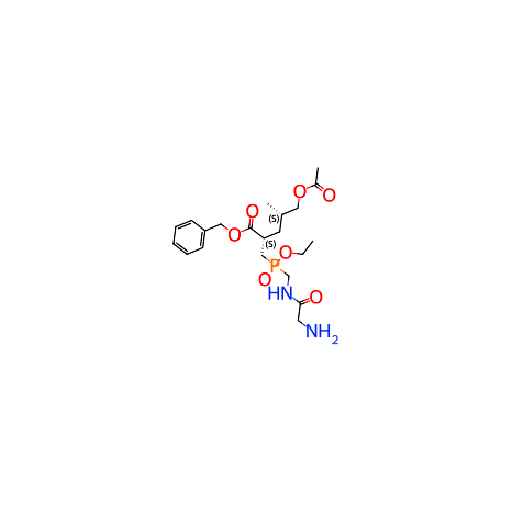 CCOP(=O)(CNC(=O)CN)C[C@@H](C[C@H](C)COC(C)=O)C(=O)OCc1ccccc1